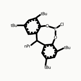 CCCC1c2cc(C(C)(C)C)cc(C(C)(C)C)c2OP(Cl)Oc2c1cc(C(C)(C)C)cc2C(C)(C)C